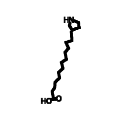 C1CCNC1.CCCCCCCCCCCCCC(=O)O